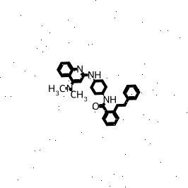 CN(C)c1cc(N[C@H]2CC[C@@H](NC(=O)c3ccccc3CCc3ccccc3)CC2)nc2ccccc12